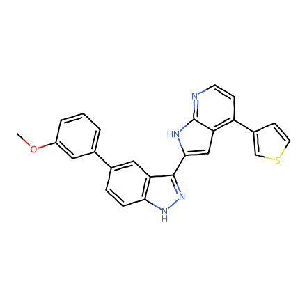 COc1cccc(-c2ccc3[nH]nc(-c4cc5c(-c6ccsc6)ccnc5[nH]4)c3c2)c1